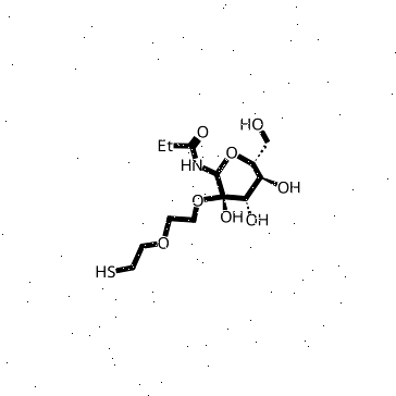 CCC(=O)NC1O[C@H](CO)[C@@H](O)[C@H](O)[C@]1(O)OCCOCCS